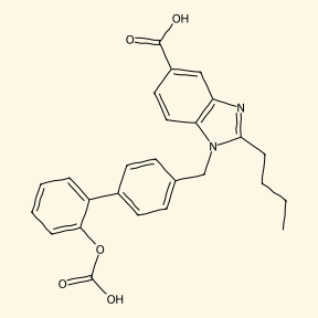 CCCCc1nc2cc(C(=O)O)ccc2n1Cc1ccc(-c2ccccc2OC(=O)O)cc1